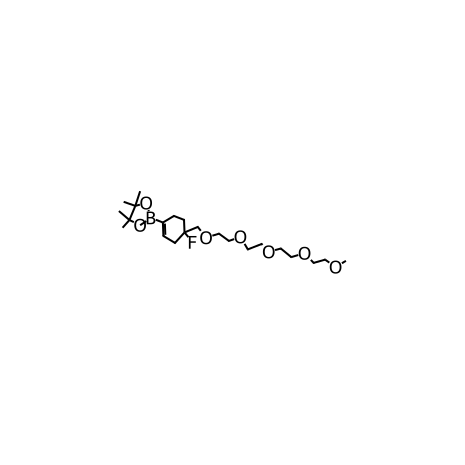 COCCOCCOCCOCCOCC1(F)CC=C(B2OC(C)(C)C(C)(C)O2)CC1